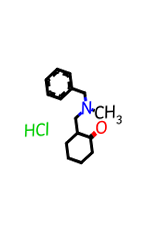 CN(Cc1ccccc1)CC1CCCCC1=O.Cl